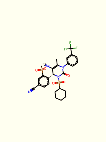 [C-]#[N+]C1=C(C)N(c2cccc(C(F)(F)F)c2)C(=O)N(S(=O)(=O)C2CCCCC2)[C@@H]1c1ccc(C#N)cc1S(C)(=O)=O